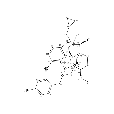 CO[C@]12CC[C@@]3(C[C@@H]1COCc1ccc(F)cc1)[C@H]1Cc4ccc(O)c5c4[C@@]3(CCC1(C)CC1CC1)[C@H]2O5